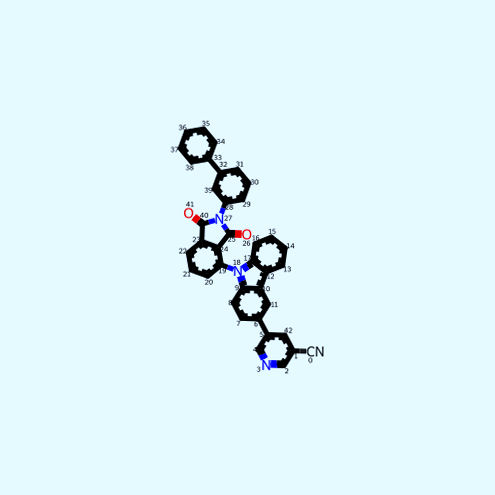 N#Cc1cncc(-c2ccc3c(c2)c2ccccc2n3-c2cccc3c2C(=O)N(c2cccc(-c4ccccc4)c2)C3=O)c1